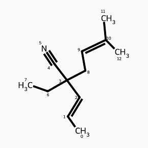 CC=CC(C#N)(CC)CC=C(C)C